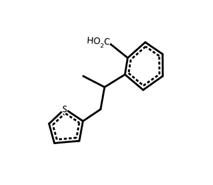 CC(Cc1cccs1)c1ccccc1C(=O)O